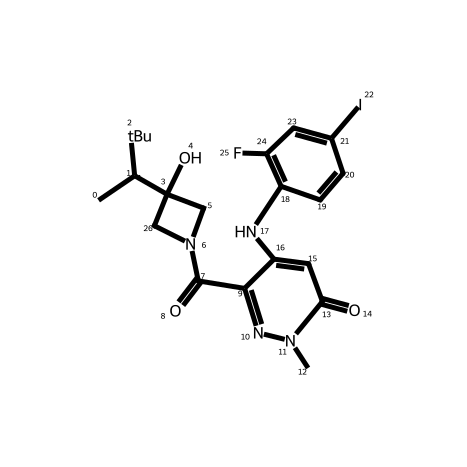 C[C](C(C)(C)C)C1(O)CN(C(=O)c2nn(C)c(=O)cc2Nc2ccc(I)cc2F)C1